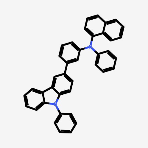 c1ccc(N(c2cccc(-c3ccc4c(c3)c3ccccc3n4-c3ccccc3)c2)c2cccc3ccccc23)cc1